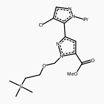 COC(=O)c1cc(-c2c(Cl)cnn2C(C)C)nn1COCC[Si](C)(C)C